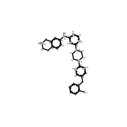 Fc1ccccc1Cc1cnc(N2CCN(c3ncnc(Nc4ccc5c(c4)CNCC5)n3)CC2)nc1